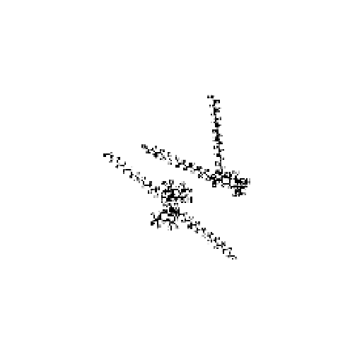 CCCCCCCCCCCCCCCCCCOC(=O)C(Cc1cc(C(C)(C)C)cc(C(C)(C)C)c1O)(Cc1cc(C(C)(C)C)cc(C(C)(C)C)c1O)C(=O)OCCCCCCCCCCCCCCCCCC.CCCCCCCCCCCCCCCCCCOC(=O)C(Cc1cc(C)c(O)c(C(C)(C)C)c1)C(=O)OCCCCCCCCCCCCCCCCCC